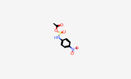 CC(=O)OS(=O)Nc1ccc([N+](=O)[O-])cc1